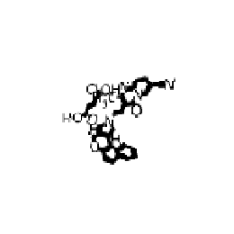 Cc1nc2ccc(C#N)cn2c(=O)c1CCN1C[C@@H]2COc3ccc4ccccc4c3[C@@H]2C1.O=C(O)/C=C/C(=O)O